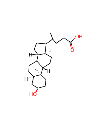 CC(CCC(=O)O)C1CC[C@H]2C3CC[C@@H]4C[C@H](O)CC[C@]4(C)[C@H]3CC[C@]12C